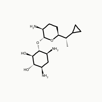 C[C@@H](C1CC1)[C@@H]1CC[C@H](N)[C@@H](O[C@H]2[C@H](O)[C@@H](O)[C@H](N)C[C@@H]2N)O1